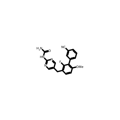 COc1ccc(Cc2cnc(NC(N)=O)nc2)c(F)c1-c1cccc(C#N)c1